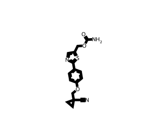 N#CC1(COc2ccc(-c3ncc(COC(N)=O)s3)cc2)CC1